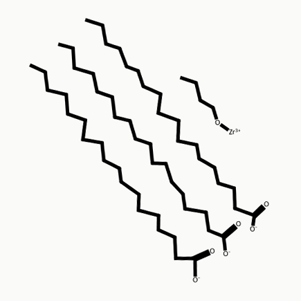 CCCCCCCCCCCCCCCCCC(=O)[O-].CCCCCCCCCCCCCCCCCC(=O)[O-].CCCCCCCCCCCCCCCCCC(=O)[O-].CCCC[O][Zr+3]